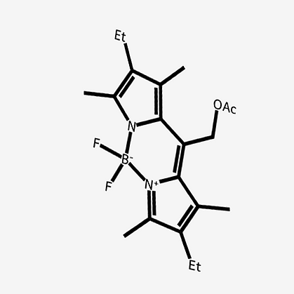 CCC1=C(C)C2=C(COC(C)=O)c3c(C)c(CC)c(C)n3[B-](F)(F)[N+]2=C1C